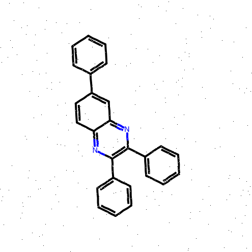 c1ccc(-c2ccc3nc(-c4ccccc4)c(-c4ccccc4)nc3c2)cc1